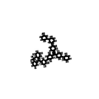 CC1(C)c2ccccc2N(c2cccc(-c3ccc(N(c4ccc(-c5ccccc5)cc4)c4ccc(-c5cccc(-c6ccccc6)c5)cc4)cc3)c2)c2ccccc21